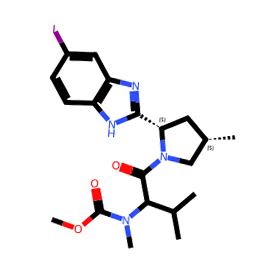 COC(=O)N(C)C(C(=O)N1C[C@@H](C)C[C@H]1c1nc2cc(I)ccc2[nH]1)C(C)C